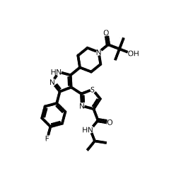 CC(C)NC(=O)c1csc(-c2c(-c3ccc(F)cc3)n[nH]c2C2CCN(C(=O)C(C)(C)O)CC2)n1